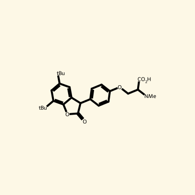 CNC(COc1ccc(C2C(=O)Oc3c2cc(C(C)(C)C)cc3C(C)(C)C)cc1)C(=O)O